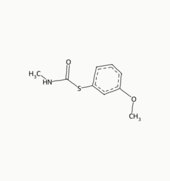 CNC(=O)Sc1cccc(OC)c1